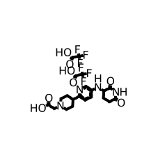 O=C(O)C(F)(F)F.O=C(O)C(F)(F)F.O=C(O)CN1CCC(c2ccc(NC3CCC(=O)NC3=O)cn2)CC1